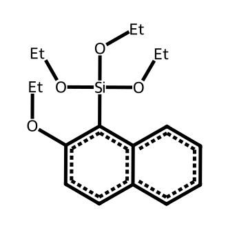 CCOc1ccc2ccccc2c1[Si](OCC)(OCC)OCC